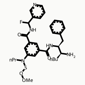 CCCC[C@H](N)[C@H](Cc1ccccc1)NC(=O)c1cc(C(=O)NC(F)c2cccnc2)cc(N(CCC)SOOC)c1